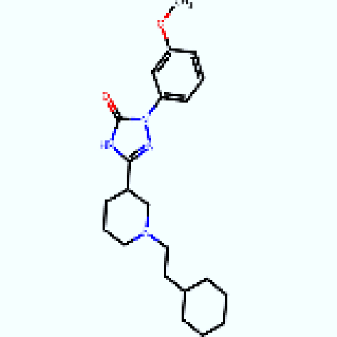 COc1cccc(-n2nc(C3CCCN(CCC4CCCCC4)C3)[nH]c2=O)c1